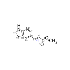 COC(=O)/C=C/c1cnc2c(c1)CCN2